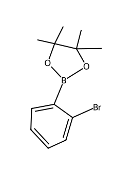 CC1(C)OB(c2ccccc2Br)OC1(C)C